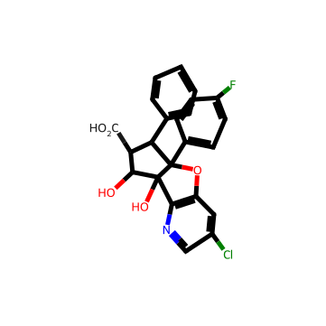 O=C(O)C1C(O)C2(O)c3ncc(Cl)cc3OC2(c2ccc(F)cc2)C1c1ccccc1